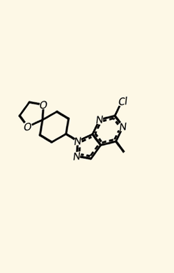 Cc1nc(Cl)nc2c1cnn2C1CCC2(CC1)OCCO2